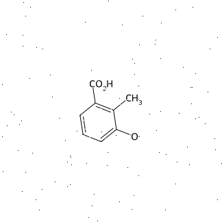 Cc1c([O])cccc1C(=O)O